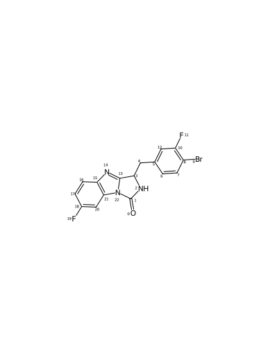 O=C1NC(Cc2ccc(Br)c(F)c2)c2nc3ccc(F)cc3n21